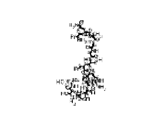 CC[C@H](C)[C@H](NC(=O)[C@@H](NC(=O)[C@H](CS)NC(=O)[C@H](CO)NC(=O)[C@H](CC(C)C)NC(=O)[C@H](CCCNC(=N)N)NC(=O)[C@H](CC(C)C)NC(=O)[C@H](CO)NC(=O)CNC(=O)CNC(=O)[C@H](C)NC(=O)[C@H](CCC(N)=O)NC(=O)[C@@H](N)C(C)C)[C@@H](C)O)C(=O)O